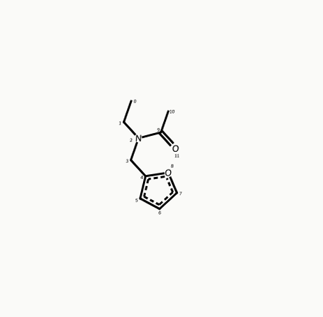 CCN(Cc1ccco1)C(C)=O